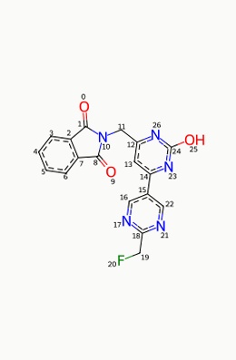 O=C1c2ccccc2C(=O)N1Cc1cc(-c2cnc(CF)nc2)nc(O)n1